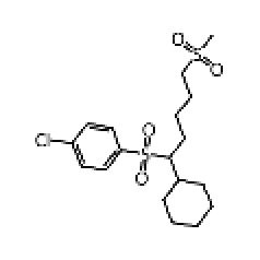 CS(=O)(=O)CCCCC(C1CCCCC1)S(=O)(=O)c1ccc(Cl)cc1